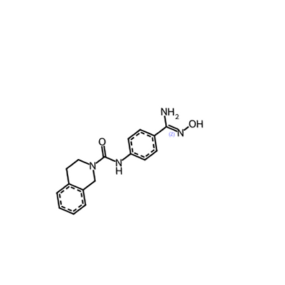 N/C(=N\O)c1ccc(NC(=O)N2CCc3ccccc3C2)cc1